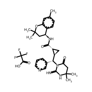 Cc1ccc2c(c1)OC(C)(C)C[C@@H]2NC(=O)[C@@H]1C[C@H]1[C@@H](c1cccnc1)N1C(=N)NC(C)(C)CC1=O.O=C(O)C(F)(F)F